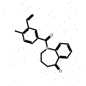 C=Cc1cc(C(=O)N2CCCC(=O)c3ccccc32)ccc1C